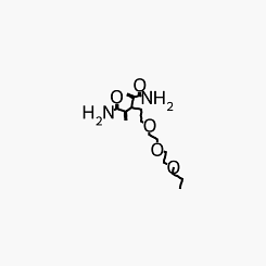 C=C(C(N)=O)C(CCOCCOCCOCCC)C(=C)C(N)=O